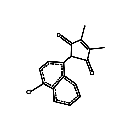 CC1=C(C)C(=O)C(c2ccc(Cl)c3ccccc23)C1=O